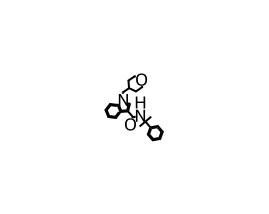 CC(C)(NC(=O)c1cn(CC2CCOCC2)c2ccccc12)c1ccccc1